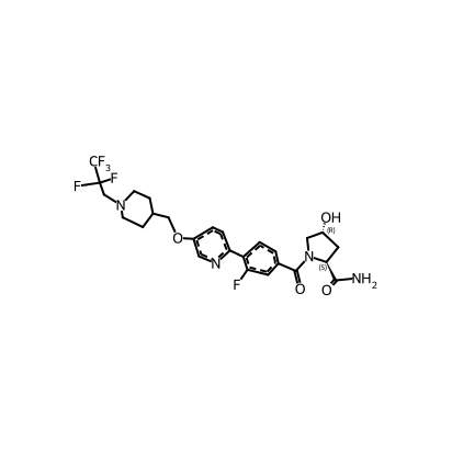 NC(=O)[C@@H]1C[C@@H](O)CN1C(=O)c1ccc(-c2ccc(OCC3CCN(CC(F)(F)C(F)(F)F)CC3)cn2)c(F)c1